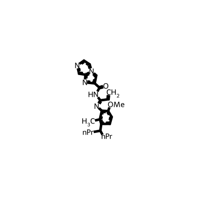 C=C/C(=N\c1c(OC)ccc(C(CCC)CCC)c1C)NC(=O)c1cn2ccncc2n1